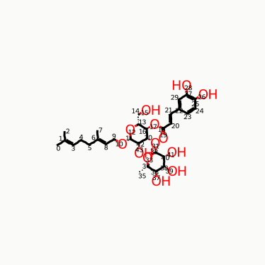 CC(C)=CCC/C(C)=C/CO[C@@H]1O[C@H](CO)[C@@H](OC(=O)/C=C/c2ccc(O)c(O)c2)[C@H](O[C@@H]2O[C@@H](C)[C@H](O)[C@@H](O)[C@H]2O)[C@H]1O